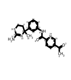 CC(=O)c1ccc(C(=O)Nc2cccc(C3(C)CCSC(N)=N3)c2)nc1